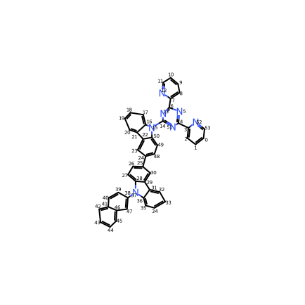 c1ccc(-c2nc(-c3ccccn3)nc(-n3c4ccccc4c4cc(-c5ccc6c(c5)c5ccccc5n6-c5ccc6ccccc6c5)ccc43)n2)nc1